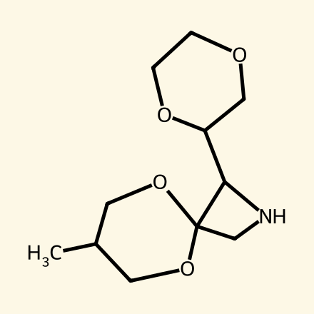 CC1COC2(CNC2C2COCCO2)OC1